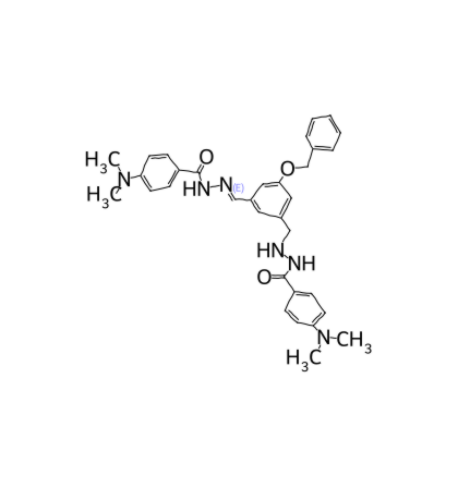 CN(C)c1ccc(C(=O)N/N=C/c2cc(CNNC(=O)c3ccc(N(C)C)cc3)cc(OCc3ccccc3)c2)cc1